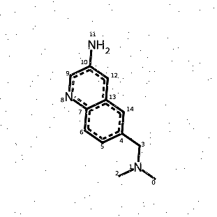 CN(C)Cc1ccc2ncc(N)cc2c1